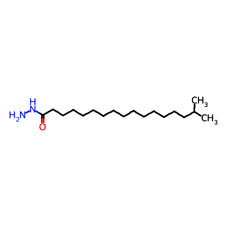 CC(C)CCCCCCCCCCCCCCC(=O)NN